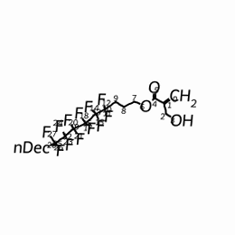 C=C(CO)C(=O)OCCCC(F)(F)C(F)(F)C(F)(F)C(F)(F)C(F)(F)C(F)(F)CCCCCCCCCC